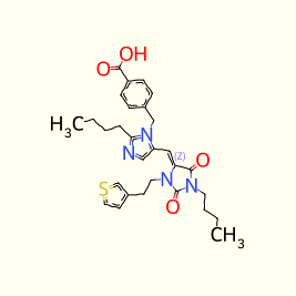 CCCCc1ncc(/C=C2/C(=O)N(CCCC)C(=O)N2CCc2ccsc2)n1Cc1ccc(C(=O)O)cc1